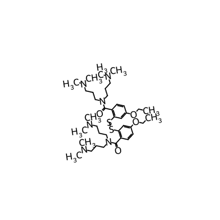 CCOc1ccc(C(=O)N(CCCN(C)C)CCCN(C)C)c(SSc2cc(OCC)ccc2C(=O)N(CCCN(C)C)CCCN(C)C)c1